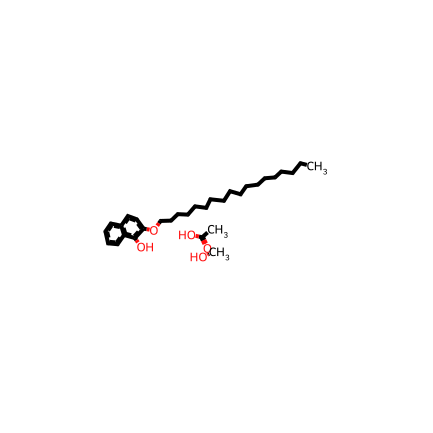 CC(=O)O.CCCCCCCCCCCCCCCCCCOc1ccc2ccccc2c1O.CO